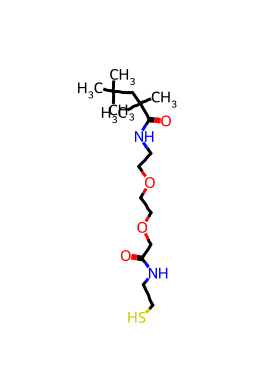 CC(C)(C)CC(C)(C)C(=O)NCCOCCOCC(=O)NCCS